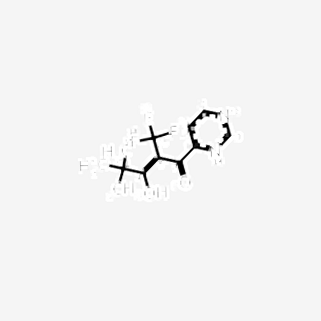 CC(C)(C)/C(O)=C(/C(=O)c1ccncn1)C(F)(F)F